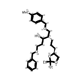 CCC1(CC)OC[C@H](CCC[C@@H](COCc2ccc(OC)cc2)C(O)CCOCc2ccccc2)O1